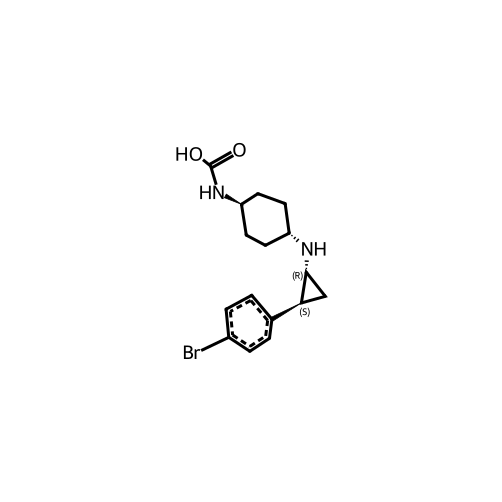 O=C(O)N[C@H]1CC[C@H](N[C@@H]2C[C@H]2c2ccc(Br)cc2)CC1